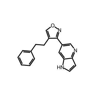 c1ccc(CCc2conc2-c2cnc3cc[nH]c3c2)cc1